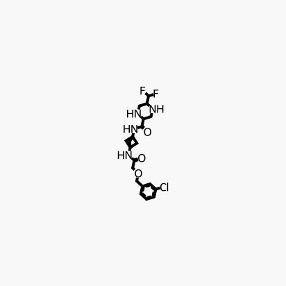 O=C(COCc1cccc(Cl)c1)NC12CC(NC(=O)C3CNC(C(F)F)CN3)(C1)C2